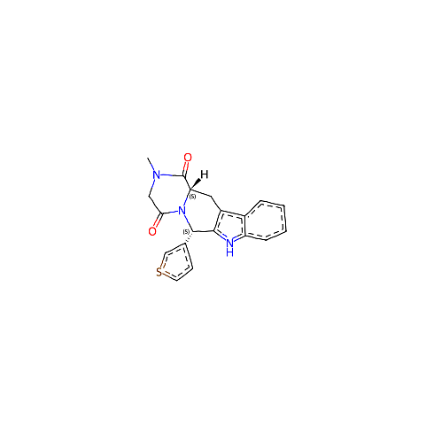 CN1CC(=O)N2[C@@H](c3ccsc3)c3[nH]c4ccccc4c3C[C@H]2C1=O